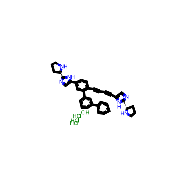 C(C#Cc1ccc(-c2cnc([C@@H]3CCCN3)[nH]2)cc1-c1cccc(-c2ccccc2)c1)#Cc1cnc([C@@H]2CCCN2)[nH]1.Cl.Cl.Cl.Cl